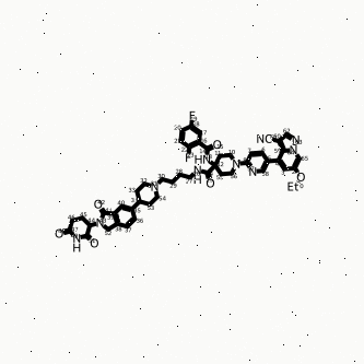 CCOc1cc(-c2ccc(N3CCC(NC(=O)c4cc(F)ccc4F)(C(=O)NCCCCN4CCC(c5ccc6c(c5)C(=O)N(C5CCC(=O)NC5=O)C6)CC4)CC3)nc2)c2c(C#N)cnn2c1